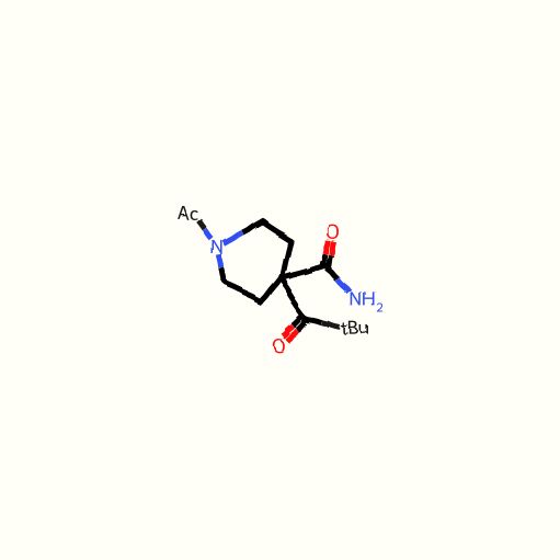 CC(=O)N1CCC(C(N)=O)(C(=O)C(C)(C)C)CC1